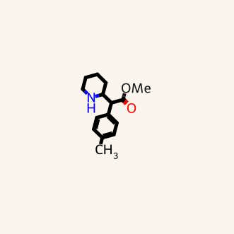 COC(=O)C(c1ccc(C)cc1)C1CCCCN1